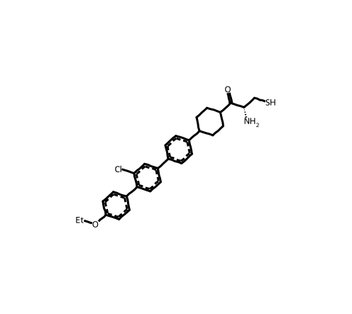 CCOc1ccc(-c2ccc(-c3ccc(C4CCC(C(=O)[C@@H](N)CS)CC4)cc3)cc2Cl)cc1